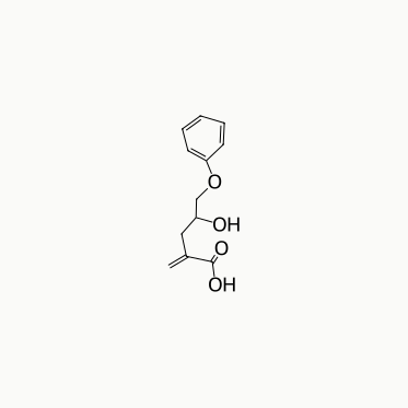 C=C(CC(O)COc1ccccc1)C(=O)O